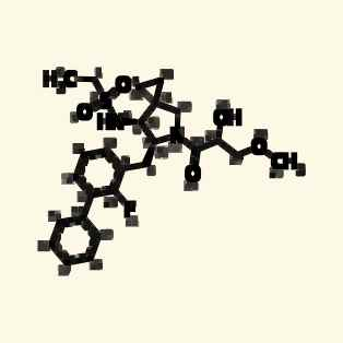 CCS(=O)(=O)N[C@@H]1[C@H](Cc2cccc(-c3ccccc3)c2F)N(C(=O)C(O)COC)CC12CC2